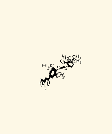 CCCCC(=O)c1cc(C)c(OCCSc2cnn(C(C)(C)C)c(=O)c2Cl)c(C)c1